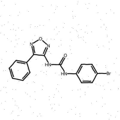 O=C(Nc1ccc(Br)cc1)Nc1nonc1-c1ccccc1